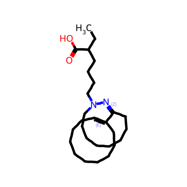 CCC(CCCCN1CCCCCCCCC(/C2=C/CCCCCCCCC2)=N/1)C(=O)O